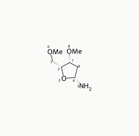 COC[C@H]1O[C@@H](N)C[C@H]1OC